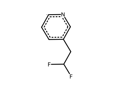 FC(F)Cc1cc[c]nc1